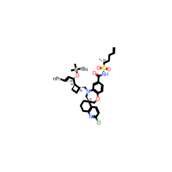 C=CCC[C@@H](C)S(=O)(=O)NC(=O)c1ccc2c(c1)N(C[C@@H]1CC[C@H]1[C@H](/C=C/CCC)O[Si](C)(C)C(C)(C)C)C[C@@]1(CCCc3nc(Cl)ccc31)CO2